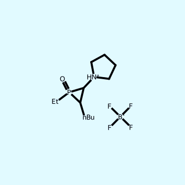 CCCCC1C([NH+]2CCCC2)P1(=O)CC.F[B-](F)(F)F